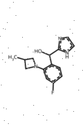 CC1CN(c2cc(F)ccc2C(O)c2ncc[nH]2)C1